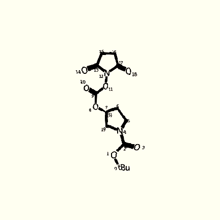 CC(C)(C)OC(=O)N1CC[C@H](OC(=O)ON2C(=O)CCC2=O)C1